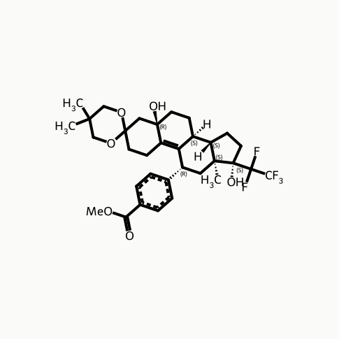 COC(=O)c1ccc([C@H]2C[C@@]3(C)[C@@H](CC[C@@]3(O)C(F)(F)C(F)(F)F)[C@@H]3CC[C@@]4(O)CC5(CCC4=C32)OCC(C)(C)CO5)cc1